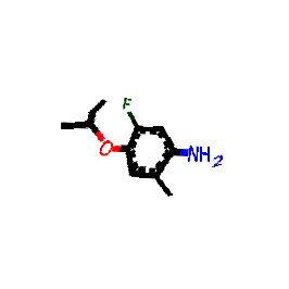 Cc1cc(OC(C)C)c(F)cc1N